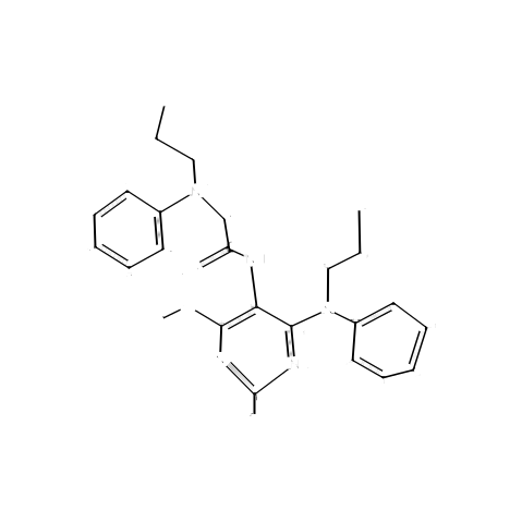 CCCN(CC(=O)Nc1c(OC)nc(C)nc1N(CCC)c1ccccc1)c1ccccc1